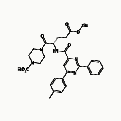 CCOC(=O)N1CCN(C(=O)[C@H](CCC(=O)OC(C)(C)C)NC(=O)c2cc(-c3ccc(C)cc3)nc(-c3ccccc3)n2)CC1